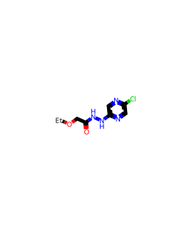 CCOCC(=O)NNc1cnc(Cl)cn1